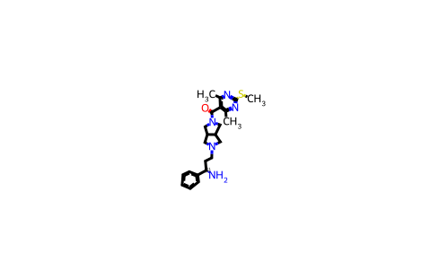 CSc1nc(C)c(C(=O)N2CC3CN(CC[C@H](N)c4ccccc4)CC3C2)c(C)n1